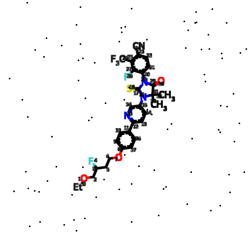 CCOCC(F)CCOc1ccc(-c2ccc(N3C(=S)N(c4ccc(C#N)c(C(F)(F)F)c4F)C(=O)C3(C)C)cn2)cc1